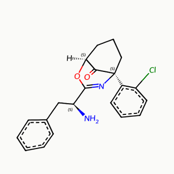 N[C@@H](Cc1ccccc1)C1=N[C@]2(c3ccccc3Cl)CCC[C@H](O1)C2=O